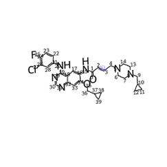 O=C(/C=C/CN1CCN(CC2CC2)CC1)Nc1cc2c(Nc3ccc(F)c(Cl)c3)ncnc2cc1OCC1CC1